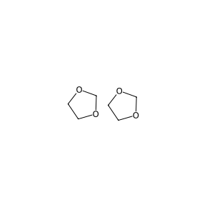 C1COCO1.C1COCO1